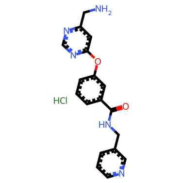 Cl.NCc1cc(Oc2cccc(C(=O)NCc3cccnc3)c2)ncn1